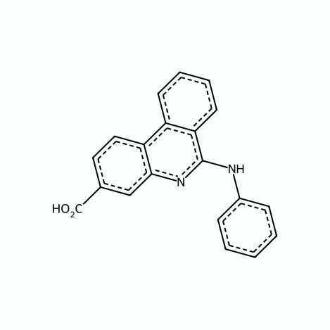 O=C(O)c1ccc2c(c1)nc(Nc1ccccc1)c1ccccc12